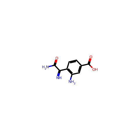 N=C(C(N)=O)c1ccc(C(=O)O)cc1N